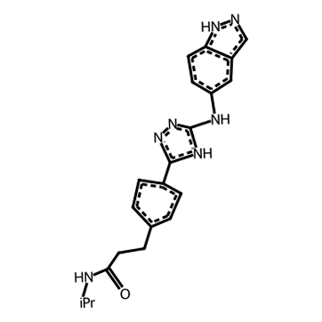 CC(C)NC(=O)CCc1ccc(-c2nnc(Nc3ccc4[nH]ncc4c3)[nH]2)cc1